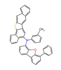 Cc1cccc(N(c2cc3c4cc5ccccc5cc4sc3c3ccccc23)c2cccc3c2oc2c(-c4ccccc4)cccc23)c1